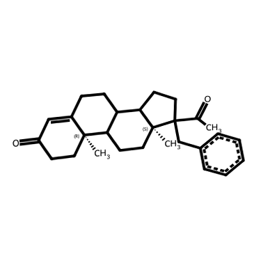 CC(=O)C1(Cc2ccccc2)CCC2C3CCC4=CC(=O)CC[C@]4(C)C3CC[C@@]21C